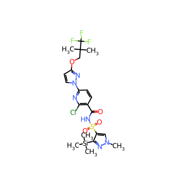 Cn1cc(S(=O)(=O)NC(=O)c2ccc(-n3ccc(OCC(C)(C)C(F)(F)F)n3)nc2Cl)c([Si](C)(C)C)n1